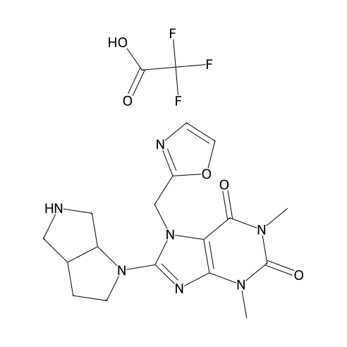 Cn1c(=O)c2c(nc(N3CCC4CNCC43)n2Cc2ncco2)n(C)c1=O.O=C(O)C(F)(F)F